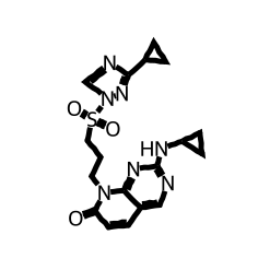 O=c1ccc2cnc(NC3CC3)nc2n1CCCS(=O)(=O)n1cnc(C2CC2)n1